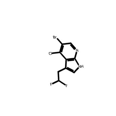 FC(F)Cc1c[nH]c2ncc(Br)c(Cl)c12